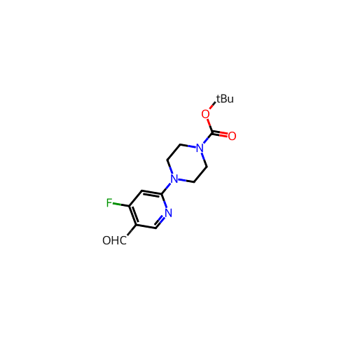 CC(C)(C)OC(=O)N1CCN(c2cc(F)c(C=O)cn2)CC1